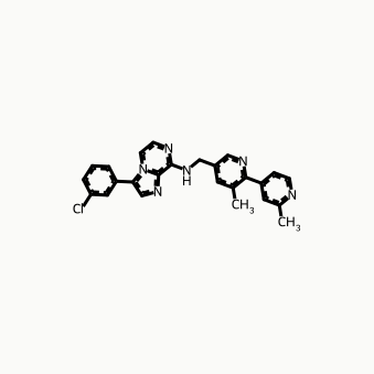 Cc1cc(-c2ncc(CNc3nccn4c(-c5cccc(Cl)c5)cnc34)cc2C)ccn1